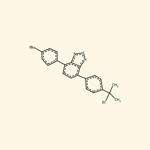 CCC(C)(C)c1ccc(-c2ccc(-c3ccc(C(C)(C)C)cc3)c3nsnc23)cc1